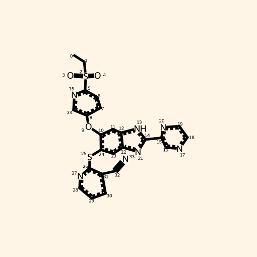 CCS(=O)(=O)c1ccc(Oc2cc3[nH]c(-c4cnccn4)nc3cc2Sc2ncccc2C#N)cn1